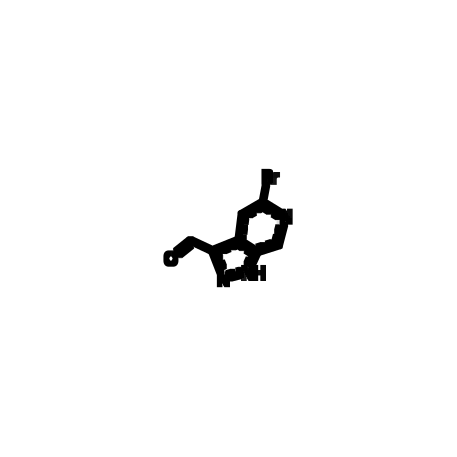 O=Cc1n[nH]c2cnc(Br)cc12